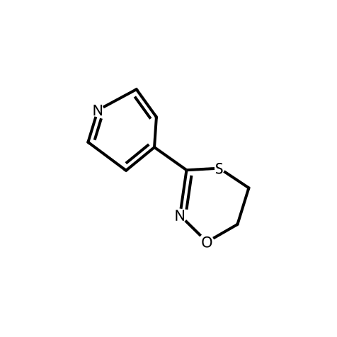 c1cc(C2=NOCCS2)ccn1